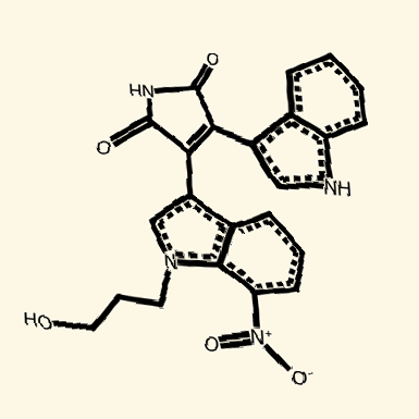 O=C1NC(=O)C(c2cn(CCCO)c3c([N+](=O)[O-])cccc23)=C1c1c[nH]c2ccccc12